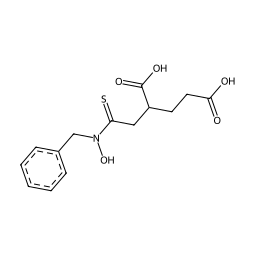 O=C(O)CCC(CC(=S)N(O)Cc1ccccc1)C(=O)O